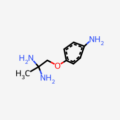 CC(N)(N)COc1ccc(N)cc1